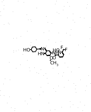 CCOC1=CC(=N)/C(=C\[N+]#CC2CCC(O)CC2)C=C1NC(=O)c1cccc(C(F)F)[n+]1O